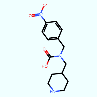 O=C(O)N(Cc1ccc([N+](=O)[O-])cc1)CC1CCNCC1